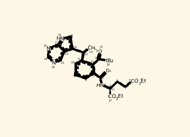 CCOC(=O)CC[C@H](NC(=O)c1cccc(C(C)c2c[nH]c3ncncc23)c1C(=O)C(C)(C)C)C(=O)OCC